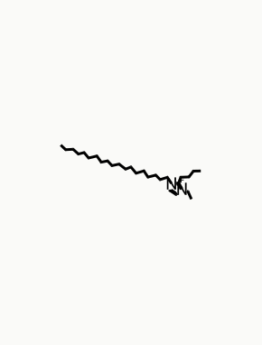 CCCCCCCCCCCCCCCCCCC[n+]1ccn(CC)c1CCCC